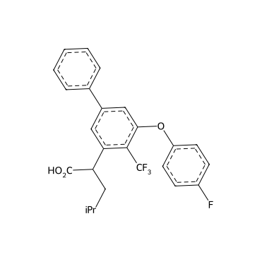 CC(C)CC(C(=O)O)c1cc(-c2ccccc2)cc(Oc2ccc(F)cc2)c1C(F)(F)F